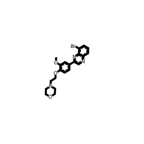 COc1cc(-c2cnc3cccc(Br)c3n2)ccc1OCCN1CCOCC1